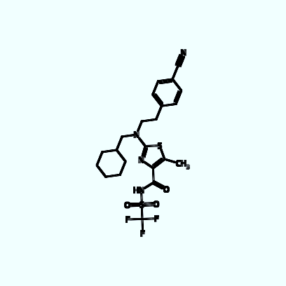 Cc1sc(N(CCc2ccc(C#N)cc2)CC2CCCCC2)nc1C(=O)NS(=O)(=O)C(F)(F)F